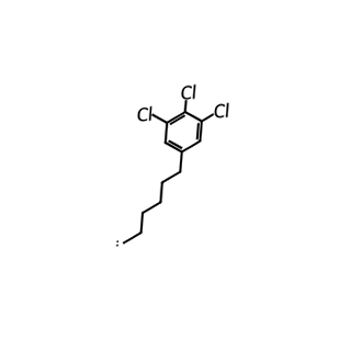 [CH]CCCCCc1cc(Cl)c(Cl)c(Cl)c1